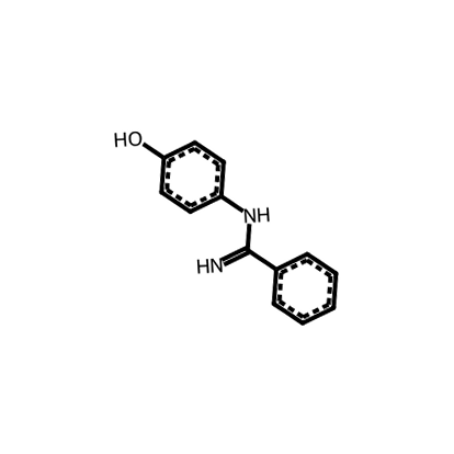 N=C(Nc1ccc(O)cc1)c1ccccc1